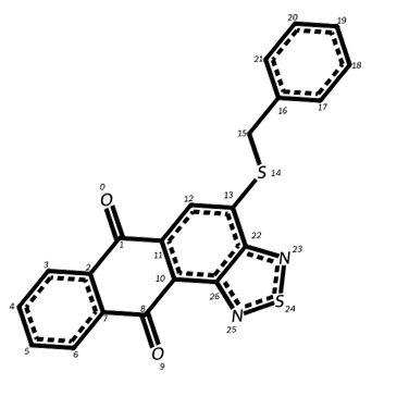 O=C1c2ccccc2C(=O)c2c1cc(SCc1ccccc1)c1nsnc21